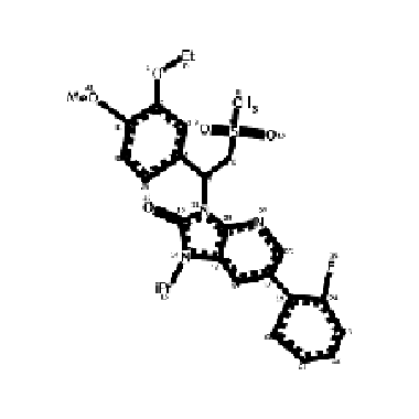 CCOc1cc(C(CS(C)(=O)=O)n2c(=O)n(C(C)C)c3cc(-c4ccccc4F)cnc32)ccc1OC